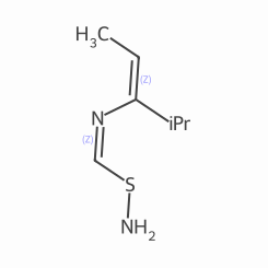 C/C=C(\N=C/SN)C(C)C